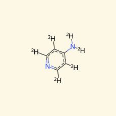 [2H]c1nc([2H])c([2H])c(N([2H])[2H])c1[2H]